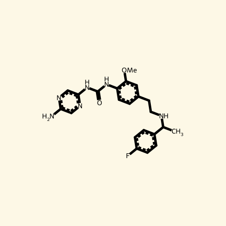 COc1cc(CCNC(C)c2ccc(F)cc2)ccc1NC(=O)Nc1cnc(N)cn1